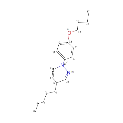 CCCCCC1C=BN(c2ccc(OCCCC)cc2)N=C1